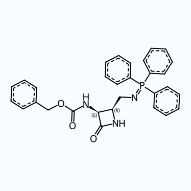 O=C(N[C@@H]1C(=O)N[C@@H]1CN=P(c1ccccc1)(c1ccccc1)c1ccccc1)OCc1ccccc1